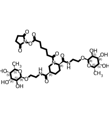 C[C@@H]1O[C@@H](OCCNC(=O)[C@@H]2CC[C@H](C(=O)NCCO[C@@H]3O[C@@H](C)[C@@H](O)[C@@H](O)[C@@H]3O)N(C(=O)CCCCC(=O)ON3C(=O)CCC3=O)C2)[C@@H](O)[C@H](O)[C@@H]1O